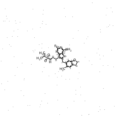 Cc1cc2c(cc1Cc1nc3c(N)nc(F)nc3n1CCNS(=O)(=O)C(C)C)OCC2